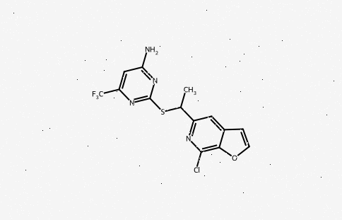 CC(Sc1nc(N)cc(C(F)(F)F)n1)c1cc2ccoc2c(Cl)n1